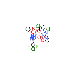 Cc1nc([C@@H]2O[C@@H]3CO[C@H](c4ccccc4)O[C@@H]3[C@H](n3cc(-c4cc(F)c(Cl)c(F)c4)nn3)[C@H]2OC(=O)Oc2ccccn2)n(-c2cc(Cl)ccc2Cl)n1